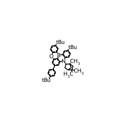 CC(C)(C)c1ccc(-c2cc3c4c(c2)N(C2CC5CC2(C)CC5(C)C)c2ccc(C(C)(C)C)cc2B4c2cc(C(C)(C)C)ccc2O3)cc1